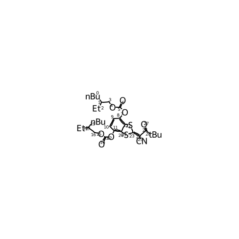 CCCCC(CC)COC(=O)Oc1ccc(OC(=O)OCC(CC)CCCC)c2c1SC(=C(C#N)C(=O)C(C)(C)C)S2